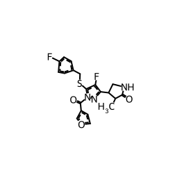 CC1C(=O)NCC1c1nn(C(=O)c2ccoc2)c(SCc2ccc(F)cc2)c1F